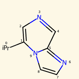 CC(C)c1cncc2nccn12